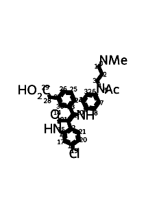 CNCCCN(C(C)=O)c1ccc(NC(=C2C(=O)Nc3cc(Cl)ccc32)c2cccc(CC(=O)O)c2)cc1